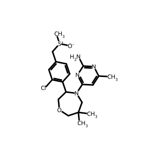 Cc1cc(N2CC(C)(C)COCC2c2ccc(C[S+](C)[O-])cc2Cl)nc(N)n1